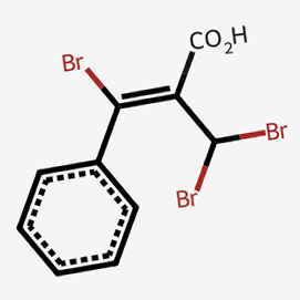 O=C(O)C(=C(Br)c1ccccc1)C(Br)Br